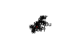 CC(C)C(=O)Nc1nc(OC(=O)N(c2ccccc2)c2ccccc2)c2ncn([C@H]3CC(OCN=[N+]=[N-])[C@@H](CO[Si](C)(C)C(C)(C)C)O3)c2n1